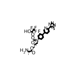 C[C@H](N)C(=O)OC[C@H]1CN(c2ccc(-c3ccc(-c4nnnn4C)nc3)c(F)c2)C(=O)O1.O=C(O)C(F)(F)F